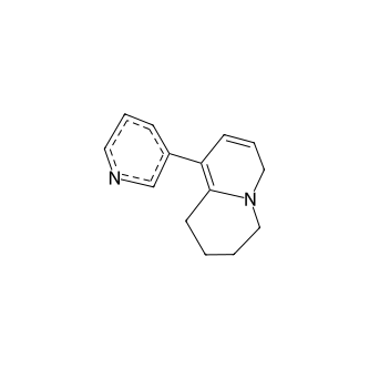 C1=CC(c2cccnc2)=C2CCCCN2C1